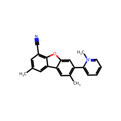 Cc1cc(C#N)c2oc3cc(-c4cccc[n+]4C)c(C)cc3c2c1